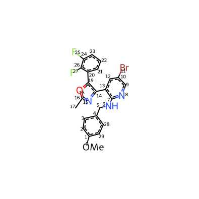 COc1ccc(CNc2ncc(Br)cc2-c2nc(C)oc2-c2cccc(F)c2F)cc1